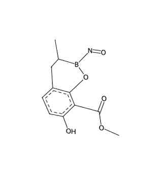 COC(=O)c1c(O)ccc2c1OB(N=O)C(C)C2